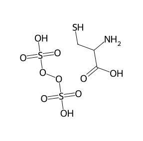 NC(CS)C(=O)O.O=S(=O)(O)OOS(=O)(=O)O